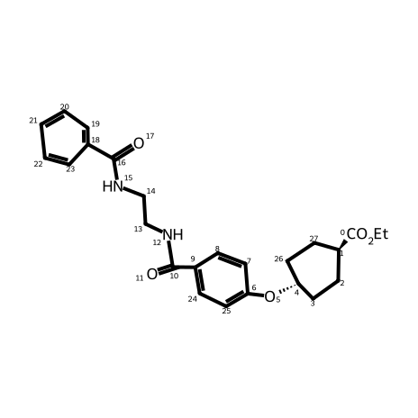 CCOC(=O)[C@H]1CC[C@H](Oc2ccc(C(=O)NCCNC(=O)c3ccccc3)cc2)CC1